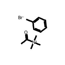 CC(=O)[N+](C)(C)C.Cc1ccccc1.[Br-]